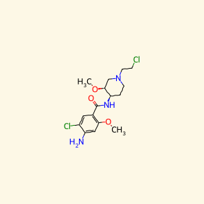 COc1cc(N)c(Cl)cc1C(=O)N[C@@H]1CCN(CCCl)C[C@@H]1OC